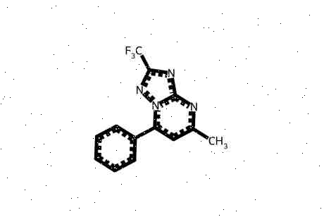 Cc1cc(-c2ccccc2)n2nc(C(F)(F)F)nc2n1